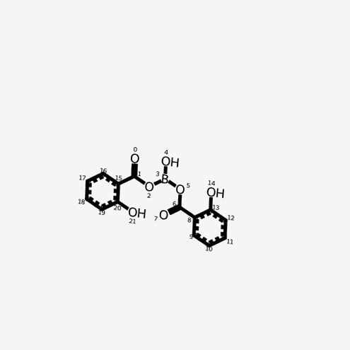 O=C(OB(O)OC(=O)c1ccccc1O)c1ccccc1O